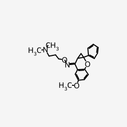 COc1ccc2c(c1)C(=NOCCCN(C)C)C1CC1(c1ccccc1)O2